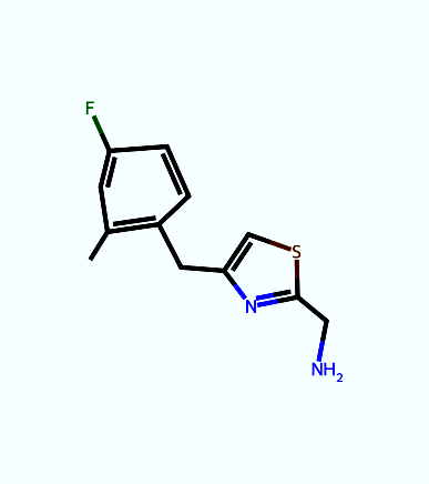 Cc1cc(F)ccc1Cc1csc(CN)n1